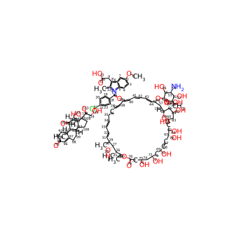 COc1ccc2c(c1)c(CC(=O)O)c(C)n2C(=O)c1ccc(Cl)cc1.C[C@@H]1[C@H](O)[C@@H](C)/C=C/C=C/CC/C=C/C=C/C=C/C=C/[C@H](O[C@@H]2O[C@H](C)[C@@H](O)[C@H](N)[C@@H]2O)C[C@@H]2O[C@](O)(C[C@@H](O)[C@H](O)CC[C@@H](O)C[C@@H](O)C[C@@H](O)CC(=O)O[C@H]1C)C[C@H](O)[C@H]2C(=O)O.C[C@]12CCC(=O)C=C1CC[C@@H]1[C@@H]2C(=O)C[C@@]2(C)[C@H]1CC[C@]2(O)C(=O)CO